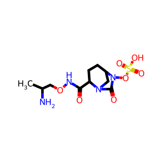 CC(N)CONC(=O)C1CCC2CN1C(=O)N2OS(=O)(=O)O